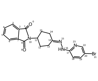 O=C1c2ccccc2C(=O)N1C1CCC(=NNc2ccc(Br)cn2)CC1